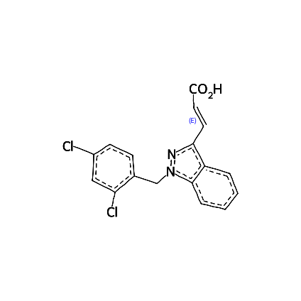 O=C(O)/C=C/c1nn(Cc2ccc(Cl)cc2Cl)c2ccccc12